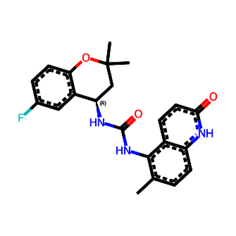 Cc1ccc2[nH]c(=O)ccc2c1NC(=O)N[C@@H]1CC(C)(C)Oc2ccc(F)cc21